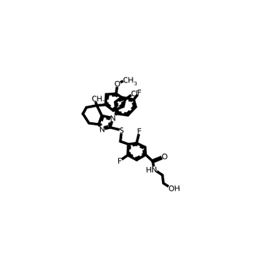 COc1cc(C2(C)CCCc3nc(SCc4c(F)cc(C(=O)NCCO)cc4F)n(-c4ccc(F)cc4)c32)ccc1Cl